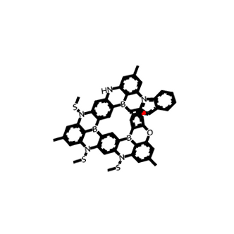 CSN1c2cc3c(cc2B2c4ccccc4Oc4cc(C)cc1c42)B1c2cc4c(cc2N(SC)c2cc(C)cc(c21)N3SC)Nc1cc(C)cc2c1B4c1cccc3c4ccccc4n-2c13